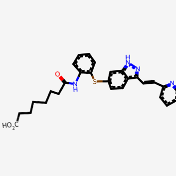 O=C(O)CCCCCCC(=O)Nc1ccccc1Sc1ccc2c(C=Cc3ccccn3)n[nH]c2c1